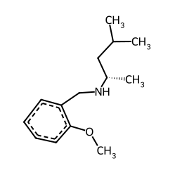 COc1ccccc1CN[C@@H](C)CC(C)C